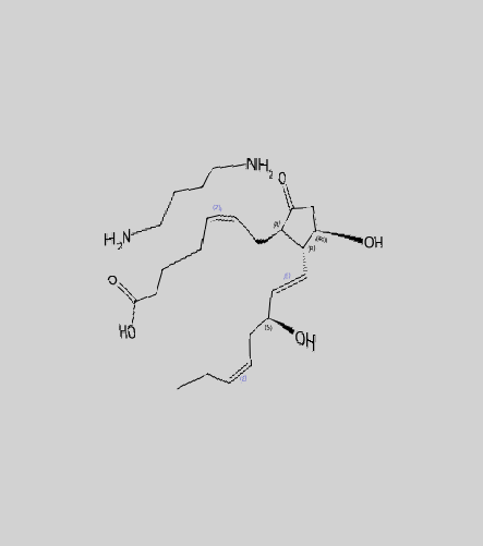 CC/C=C\C[C@H](O)/C=C/[C@H]1[C@H](O)CC(=O)[C@@H]1C/C=C\CCCC(=O)O.NCCCCN